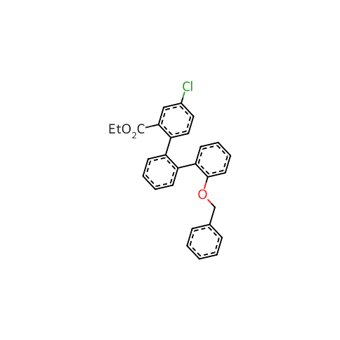 CCOC(=O)c1cc(Cl)ccc1-c1ccccc1-c1ccccc1OCc1ccccc1